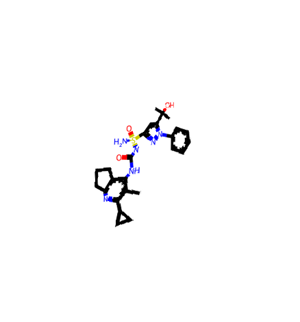 Cc1c(C2CC2)nc2c(c1NC(=O)N=[S@](N)(=O)c1cc(C(C)(C)O)n(-c3ccccc3)n1)CCC2